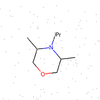 CC(C)N1C(C)COCC1C